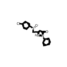 O=c1cc(C[S+]([O-])c2ccc(Cl)cc2)[nH]n1-c1ccccc1